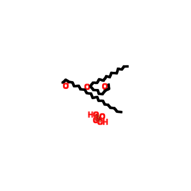 CCCCCCCCCCCCC(CCCCC1CCO1)OC(CCCCCCCCCCCC)CCCCC1CCO1.O=S(=O)(O)O